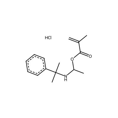 C=C(C)C(=O)OC(C)NC(C)(C)c1ccccc1.Cl